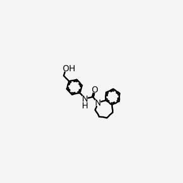 O=C(Nc1ccc(CO)cc1)N1CCCCc2ccccc21